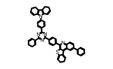 C1=CC(c2nc(-c3ccc(-c4nc5ccc(-c6ccccc6)cc5c5c6c(sc45)=CCCC=6)cc3)nc(-c3ccc(-n4c5c(c6c4C=CCC6)CCC=C5)cc3)n2)=CCC1